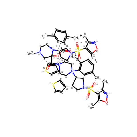 Cc1ccc(C)c([N+]2([C@H]3CN(S(=O)(=O)c4c(C)noc4C)C[C@@H]3c3ccsc3)CCN(C(=O)C3(OC(=O)C(F)(F)F)CN(C=O)CC[N@+]3(c3cc(C)ccc3C)[C@H]3CN(S(=O)(=O)c4c(C)noc4C)C[C@@H]3c3ccsc3)CC2)c1